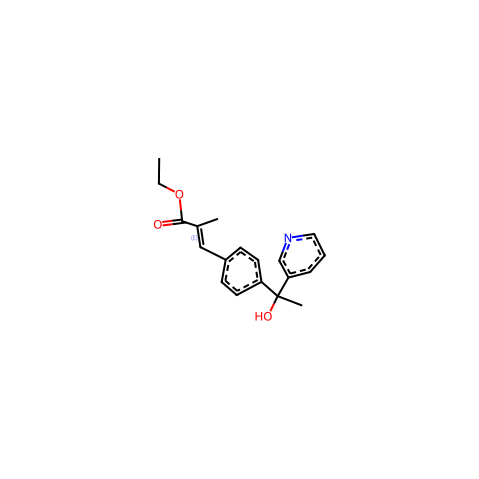 CCOC(=O)/C(C)=C/c1ccc(C(C)(O)c2cccnc2)cc1